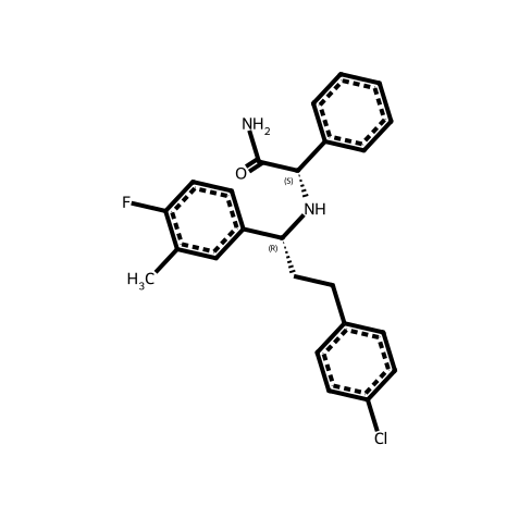 Cc1cc([C@@H](CCc2ccc(Cl)cc2)N[C@H](C(N)=O)c2ccccc2)ccc1F